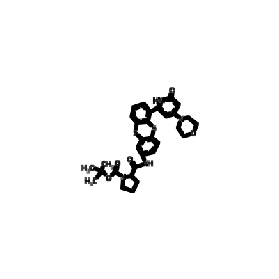 CC(C)(C)OC(=O)N1CCCC1C(=O)Nc1ccc2c(c1)Sc1cccc(-c3cc(N4CCOCC4)cc(=O)[nH]3)c1S2